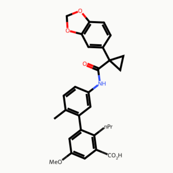 CCCc1c(C(=O)O)cc(OC)cc1-c1cc(NC(=O)C2(c3ccc4c(c3)OCO4)CC2)ccc1C